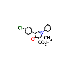 Cc1c(C(=O)O)c(=O)c(-c2ccc(Cl)cc2)cn1-c1ccccc1